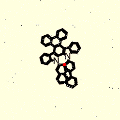 c1ccc(-c2ccc(-n3c4ccccc4c4c5c6ccccc6c6ccccc6c5c5c6ccccc6n(-c6ccc7ccccc7c6)c5c43)cc2)cc1